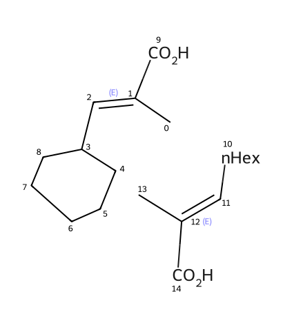 C/C(=C\C1CCCCC1)C(=O)O.CCCCCC/C=C(\C)C(=O)O